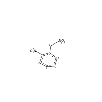 O=[N+]([O-])[C]c1ccccc1[N+](=O)[O-]